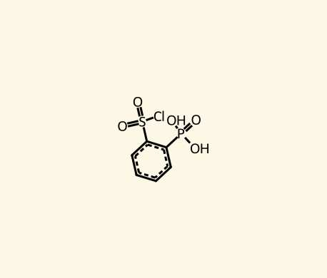 O=P(O)(O)c1ccccc1S(=O)(=O)Cl